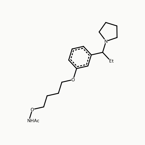 CCC(c1cccc(OCCCCONC(C)=O)c1)N1CCCC1